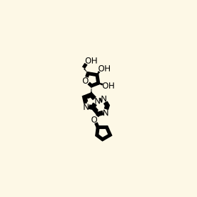 OC[C@H]1O[C@@H](c2cnc3c(OC4CCCC4)ncnn23)[C@H](O)[C@@H]1O